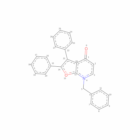 O=c1ccn(Cc2ccccc2)c2oc(-c3ccccc3)c(-c3ccccc3)c12